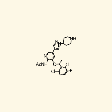 CC(=O)Nc1ncc(-c2cnn(C3CCNCC3)c2)cc1O[C@@H](C)c1c(Cl)ccc(F)c1Cl